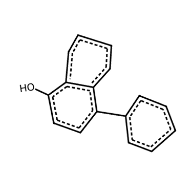 Oc1ccc(-c2ccccc2)c2ccccc12